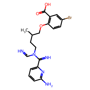 CC(CCN(C=N)C(=N)c1cccc(N)n1)COc1ccc(Br)cc1C(=O)O